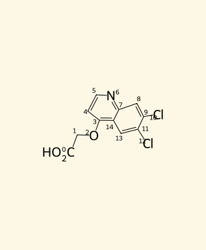 O=C(O)COc1ccnc2cc(Cl)c(Cl)cc12